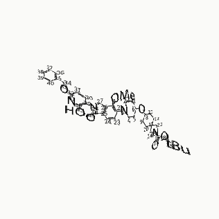 COc1c(N2CCC(OC3CCC4(CC3)CN(C(=O)OC(C)(C)C)C4)CC2)ccc2c1CN(c1ccc(OCc3ccccc3)nc1O)C2=O